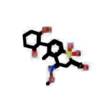 CON=C1CC(=C=O)S(=O)(=O)c2ccc(C3=C(O)CCCC3=O)c(C)c21